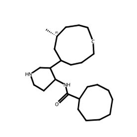 C[C@@H]1CCCCCCCC(C2CNCCC2NC(=O)C2CCCCCCCC2)C1